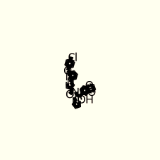 O=C(N[C@H](CN1CCCC1)[C@H](O)c1ccc2c(c1)OCCO2)C1CCN(c2cccc(Oc3ccc(Cl)cc3)n2)C1